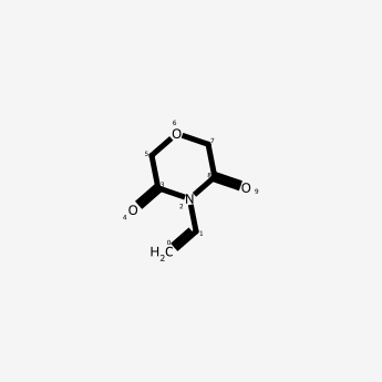 C=CN1C(=O)COCC1=O